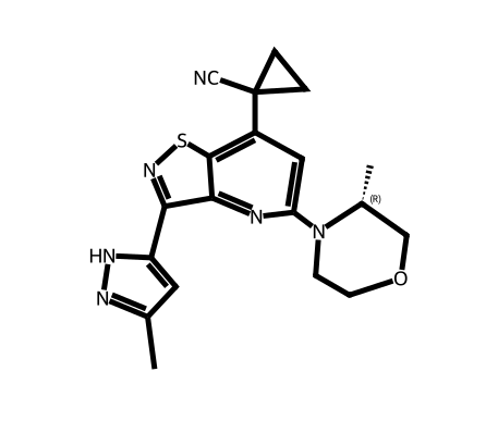 Cc1cc(-c2nsc3c(C4(C#N)CC4)cc(N4CCOC[C@H]4C)nc23)[nH]n1